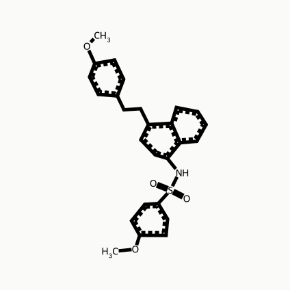 COc1ccc(CCc2ccc(NS(=O)(=O)c3ccc(OC)cc3)c3ccccc23)cc1